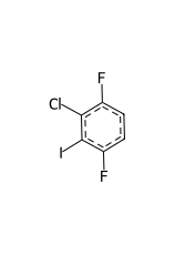 Fc1ccc(F)c(I)c1Cl